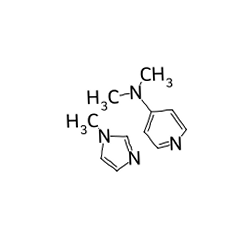 CN(C)c1ccncc1.Cn1ccnc1